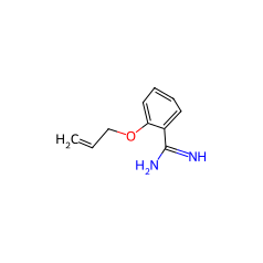 C=CCOc1ccccc1C(=N)N